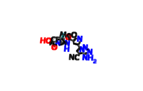 COc1ncc(-c2cc(C#N)c3c(N)ncnn23)cc1C(=O)N[C@@H]1CN(C(=O)[C@@](C)(O)C(F)(F)F)C[C@@H]1F